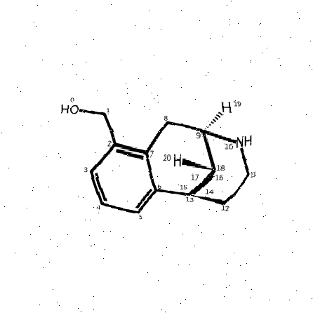 O[CH]c1cccc2c1C[C@H]1NCC[C@@]23CCCC[C@@H]13